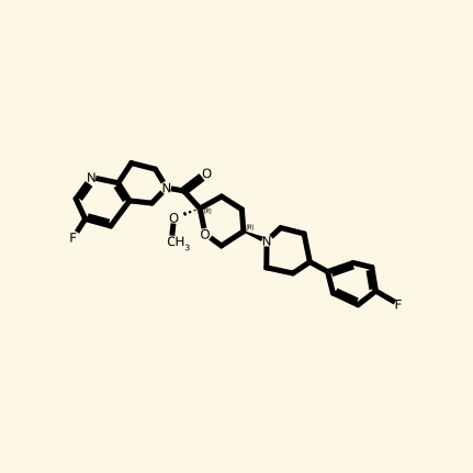 CO[C@]1(C(=O)N2CCc3ncc(F)cc3C2)CC[C@@H](N2CCC(c3ccc(F)cc3)CC2)CO1